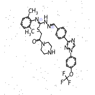 Cc1cccc(C)c1/N=C(/N/N=C/c1ccc(-c2ncn(-c3ccc(OC(F)(F)F)cc3)n2)cc1)SCC(=O)N1CCNCC1